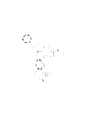 CN(c1ccc2c(n1)NC(=O)CO2)C(C(=O)OCc1ccccc1)[C@H]1COC[C@@H]1NC(=O)O